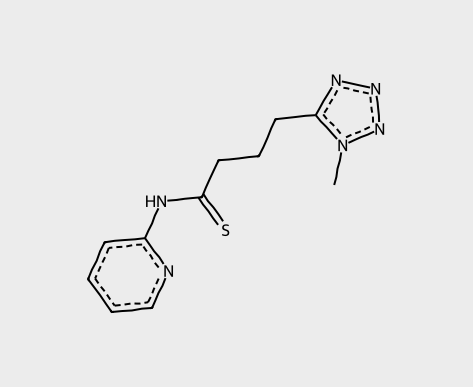 Cn1nnnc1CCCC(=S)Nc1ccccn1